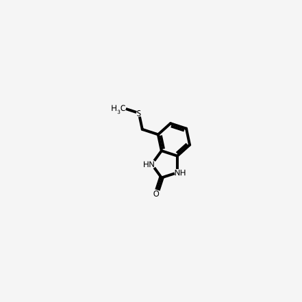 CSCc1cccc2[nH]c(=O)[nH]c12